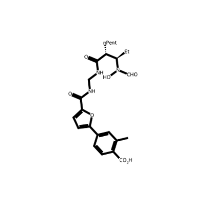 CCCCC[C@@H](C(=O)NCNC(=O)c1ccc(-c2ccc(C(=O)O)c(C)c2)o1)[C@@H](CC)N(O)C=O